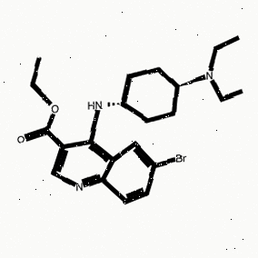 CCOC(=O)c1cnc2ccc(Br)cc2c1N[C@H]1CC[C@H](N(CC)CC)CC1